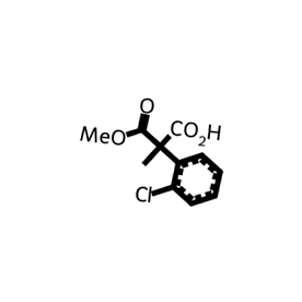 COC(=O)C(C)(C(=O)O)c1ccccc1Cl